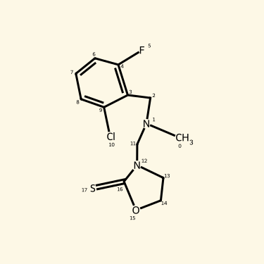 CN(Cc1c(F)cccc1Cl)CN1CCOC1=S